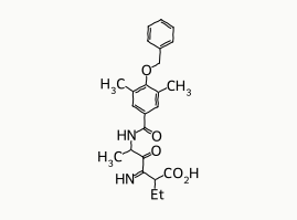 CCC(C(=N)C(=O)C(C)NC(=O)c1cc(C)c(OCc2ccccc2)c(C)c1)C(=O)O